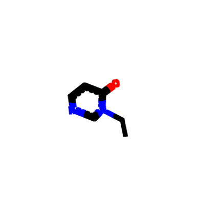 CCn1cnccc1=O